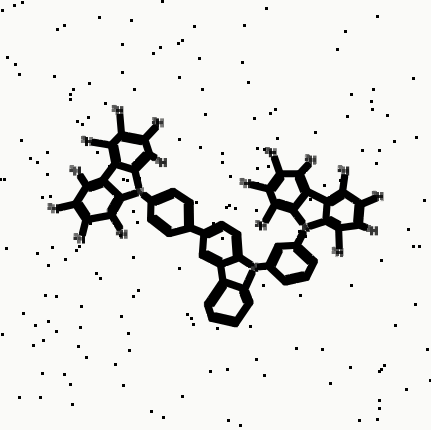 [2H]c1c([2H])c([2H])c2c(c1[2H])c1c([2H])c([2H])c([2H])c([2H])c1n2-c1ccc(-c2ccc3c(c2)c2ccccc2n3-c2cccc(-n3c4c([2H])c([2H])c([2H])c([2H])c4c4c([2H])c([2H])c([2H])c([2H])c43)c2)cc1